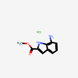 COC(=O)c1cc2cccc(N)c2[nH]1.Cl